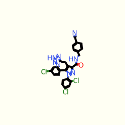 N#Cc1ccc(CNC(=O)c2nn(-c3ccc(Cl)cc3Cl)c(-c3ccc(Cl)cc3)c2Cc2nn[nH]n2)cc1